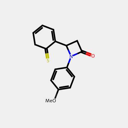 COc1ccc(N2C(=O)CC2C2=CC=CCC2=S)cc1